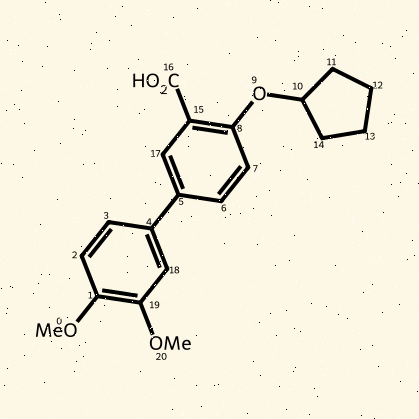 COc1ccc(-c2ccc(OC3CCCC3)c(C(=O)O)c2)cc1OC